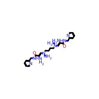 N/C(=C\N(N)CCCCN(N)/C=C(\N)C(=O)NCc1ccccn1)C(=O)NCc1ccccn1